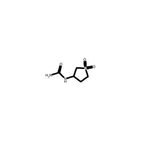 NC(=O)NC1CCS(=O)(=O)C1